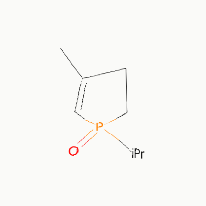 CC1=CP(=O)(C(C)C)CC1